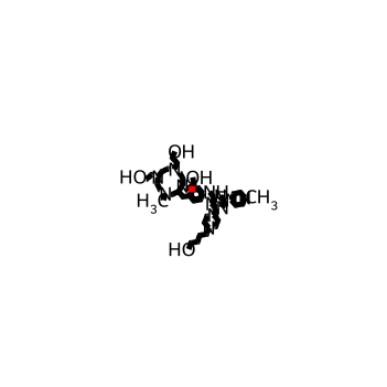 CN1CCN(c2nc(Nc3ccc(CC4CN(C)CCN(CCO)CCN(CCO)CCN4CCO)cc3)nc(N3CCN(CCCCO)CC3)n2)CC1